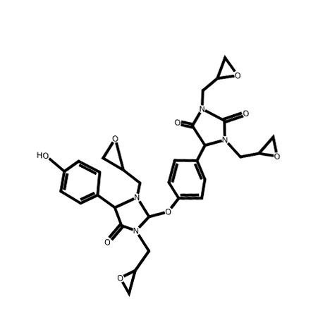 O=C1C(c2ccc(OC3N(CC4CO4)C(=O)C(c4ccc(O)cc4)N3CC3CO3)cc2)N(CC2CO2)C(=O)N1CC1CO1